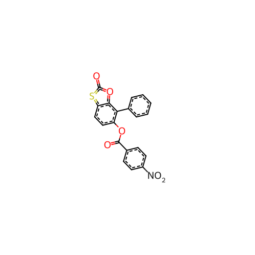 O=C(Oc1ccc2sc(=O)oc2c1-c1ccccc1)c1ccc([N+](=O)[O-])cc1